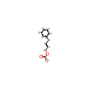 [O]C(=O)OCC=CCc1ccccc1